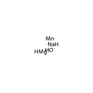 [MgH+].[Mn].[NaH].[OH-]